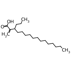 C=C(C(=O)O)C(CCC)CCCCCCCCCCCCC